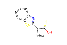 CCCCCCC(C(O)=S)c1nc2ccccc2s1